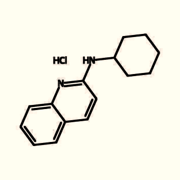 Cl.c1ccc2nc(NC3CCCCC3)ccc2c1